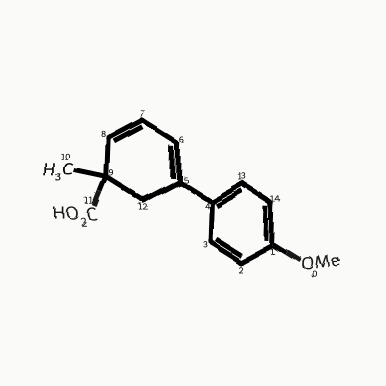 COc1ccc(C2=CC=CC(C)(C(=O)O)C2)cc1